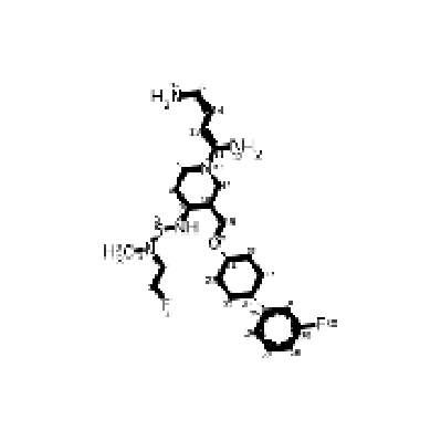 CN(CCF)SNC1CCN(/C(N)=C/C=C\N)CC1CO[C@H]1CC[C@@H](c2cccc(F)c2)CC1